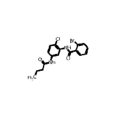 CCCC(=O)Nc1ccc(Cl)c(NC(=O)c2ccccc2Br)c1